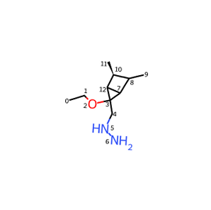 CCOC1(CNN)C2C(C)[C@H](C)C21